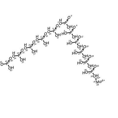 O=[P-](O)O.O=[P-](O)O.O=[P-](O)O.O=[P-](O)O.O=[P-](O)O.O=[P-](O)O.O=[P-](O)O.O=[P-](O)O.O=[P-](O)O.O=[P-](O)O.O=[P-](O)O.[Mo+6].[V+5]